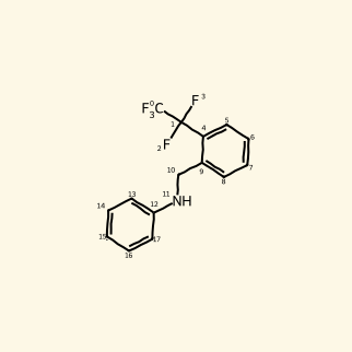 FC(F)(F)C(F)(F)c1ccccc1CNc1cc[c]cc1